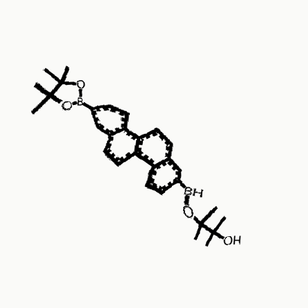 CC(C)(O)C(C)(C)OBc1ccc2c(ccc3c4ccc(B5OC(C)(C)C(C)(C)O5)cc4ccc23)c1